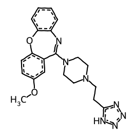 COc1ccc2c(c1)C(N1CCN(CCc3nnn[nH]3)CC1)=Nc1ccccc1O2